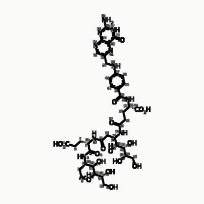 CC(=O)C[C@@H](NC(=O)[C@H](CCC(=O)O)NC(=O)C[C@@H](NC(=O)CC[C@H](NC(=O)c1ccc(NCc2cnc3nc(N)[nH]c(=O)c3n2)cc1)C(=O)O)[C@@H](O)[C@H](O)[C@H](O)CO)[C@@H](O)[C@H](O)[C@H](O)CO